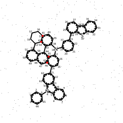 c1ccc(-n2c3ccccc3c3cc(-c4ccc(N(c5cccc(-c6cccc7c6sc6ccccc67)c5)c5ccccc5-c5cccc6cccc(C7CCCCC7)c56)cc4)ccc32)cc1